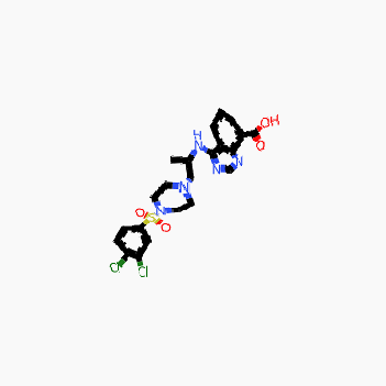 CC(CN1CCN(S(=O)(=O)c2ccc(Cl)c(Cl)c2)CC1)Nc1ncnc2c(C(=O)O)cccc12